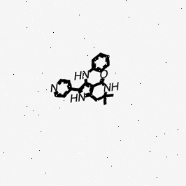 CC1(C)Cc2[nH]c(-c3ccncc3)c(Nc3ccccc3)c2C(=O)N1